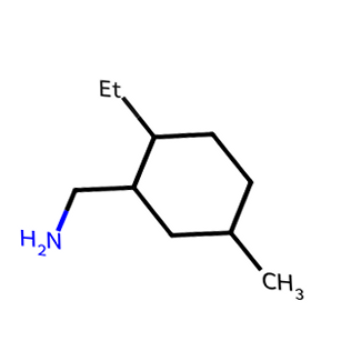 CCC1CCC(C)CC1CN